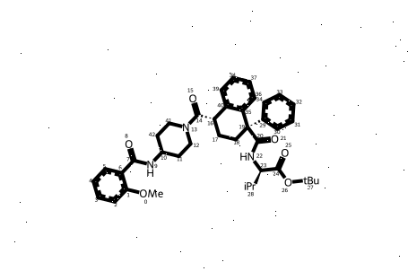 COc1ccccc1C(=O)NC1CCN(C(=O)[C@H]2CC[C@@](C(=O)N[C@@H](C(=O)OC(C)(C)C)C(C)C)(c3ccccc3)c3ccccc32)CC1